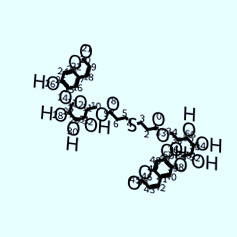 O=C(CCSCCC(=O)OCC1OC(Oc2cc3ccc(=O)oc3cc2O)C(O)C(O)C1O)OCC1OC(Oc2cc3ccc(=O)oc3cc2O)C(O)C(O)C1O